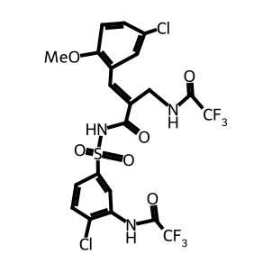 COc1ccc(Cl)cc1/C=C(\CNC(=O)C(F)(F)F)C(=O)NS(=O)(=O)c1ccc(Cl)c(NC(=O)C(F)(F)F)c1